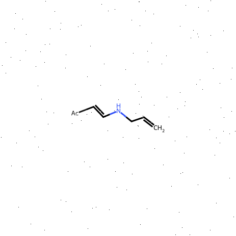 C=CCNC=CC(C)=O